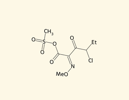 CCC(Cl)C(=O)C(=NOC)C(=O)OS(C)(=O)=O